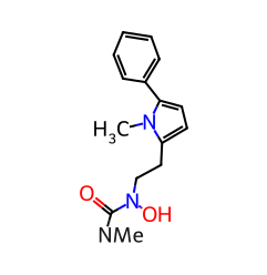 CNC(=O)N(O)CCc1ccc(-c2ccccc2)n1C